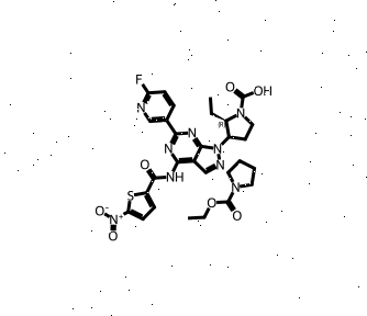 CCOC(=O)N1CCCC1.CC[C@@H]1C(n2ncc3c(NC(=O)c4ccc([N+](=O)[O-])s4)nc(-c4ccc(F)nc4)nc32)CCN1C(=O)O